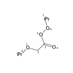 CC(C)OCC(=O)OOC(C)C